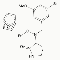 CCON(Cc1cc(Br)cc(OC)c1)C1CCNC1=O.c1cc2ccc1o2